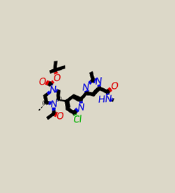 CNC(=O)c1cc(-c2cc([C@@H]3CN(C(=O)OC(C)(C)C)C[C@@H](C)N3C(C)=O)cc(Cl)n2)nc(C)n1